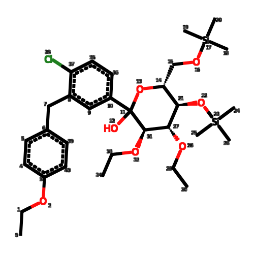 CCOc1ccc(Cc2cc(C3(O)O[C@H](CO[Si](C)(C)C)[C@@H](O[Si](C)(C)C)[C@H](OCC)[C@H]3OCC)ccc2Cl)cc1